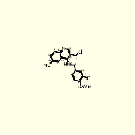 COc1ccc(CNc2c(CCl)cnc3ccc(C#N)cc23)cc1Cl